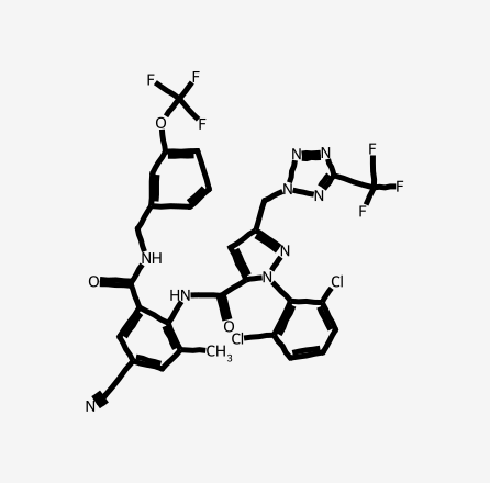 Cc1cc(C#N)cc(C(=O)NCc2cccc(OC(F)(F)F)c2)c1NC(=O)c1cc(Cn2nnc(C(F)(F)F)n2)nn1-c1c(Cl)cccc1Cl